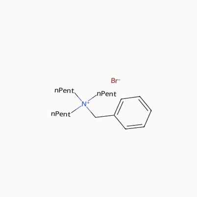 CCCCC[N+](CCCCC)(CCCCC)Cc1ccccc1.[Br-]